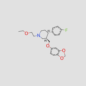 CCOCCN1CC[C@H](c2ccc(F)cc2)[C@@H](COc2ccc3c(c2)OCO3)C1